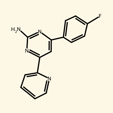 Nc1nc(-c2ccc(F)cc2)cc(-c2ccccn2)n1